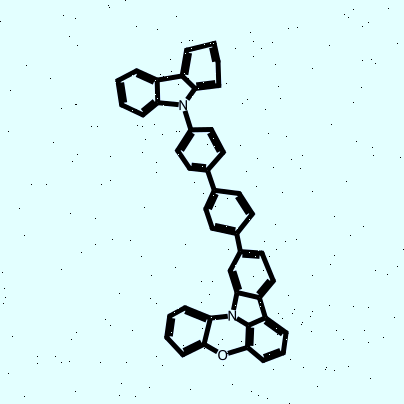 c1ccc2c(c1)Oc1cccc3c4ccc(-c5ccc(-c6ccc(-n7c8ccccc8c8ccccc87)cc6)cc5)cc4n-2c13